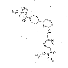 CON(C)C(=O)c1ccc(COc2cccc(C3CCN(C(=O)OC(C)(C)C)CC3)n2)nc1